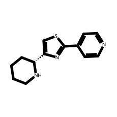 c1cc(-c2nc([C@H]3CCCCN3)cs2)ccn1